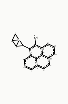 Sc1c(C2C3C4CS423)c2cccc3ccc4cccc1c4c32